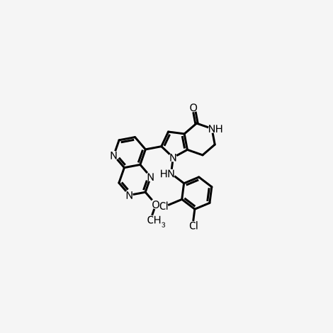 COc1ncc2nccc(-c3cc4c(n3Nc3cccc(Cl)c3Cl)CCNC4=O)c2n1